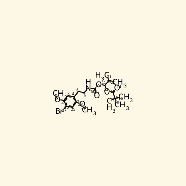 COc1cc(CCNC(=O)OC(OC(=O)C(C)(C)C)C(C)C)c(OC)cc1Br